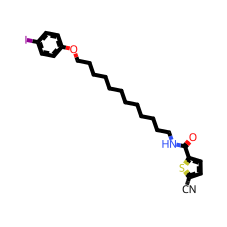 N#Cc1ccc(C(=O)NCCCCCCCCCCCCOc2ccc(I)cc2)s1